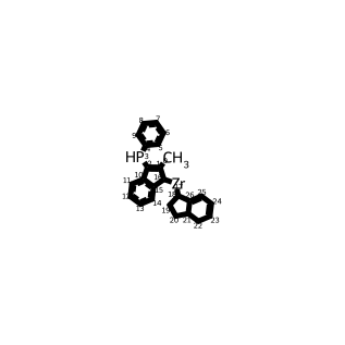 CC1=C(Pc2ccccc2)c2ccccc2[CH]1[Zr][CH]1CCC2CC=CC=C21